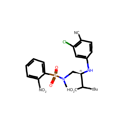 CN(C[C@@H](Nc1ccc(C#N)c(Cl)c1)C(C(=O)O)C(C)(C)C)S(=O)(=O)c1ccccc1[N+](=O)[O-]